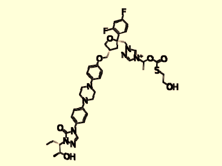 CC[C@@H]([C@H](C)O)n1ncn(-c2ccc(N3CCN(c4ccc(OC[C@@H]5CO[C@@](Cn6c[n+](C(C)OC(=O)SCCO)cn6)(c6ccc(F)cc6F)C5)cc4)CC3)cc2)c1=O